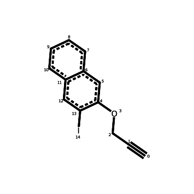 C#CCOc1cc2ccccc2cc1I